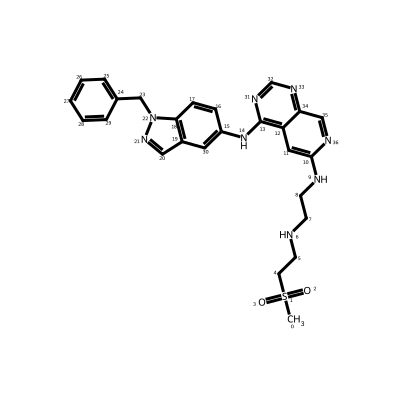 CS(=O)(=O)CCNCCNc1cc2c(Nc3ccc4c(cnn4Cc4ccccc4)c3)ncnc2cn1